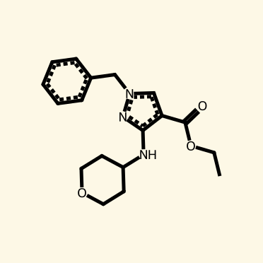 CCOC(=O)c1cn(Cc2ccccc2)nc1NC1CCOCC1